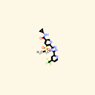 CCS(=O)(=O)c1cc(C(=O)NC2CC2)cnc1-c1nnc(-c2cc(C(F)(F)F)ccn2)n1C